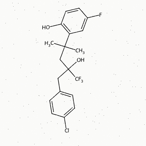 CC(C)(CC(O)(Cc1ccc(Cl)cc1)C(F)(F)F)c1cc(F)ccc1O